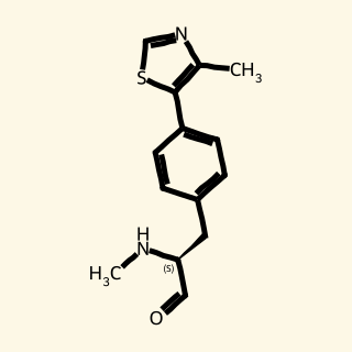 CN[C@H](C=O)Cc1ccc(-c2scnc2C)cc1